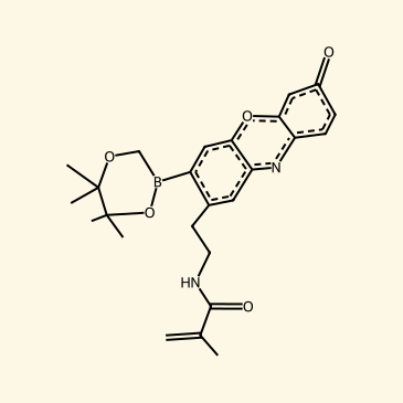 C=C(C)C(=O)NCCc1cc2nc3ccc(=O)cc-3oc2cc1B1COC(C)(C)C(C)(C)O1